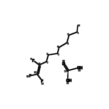 CCCCCCCCC(F)=C(F)F.O=C(O)O